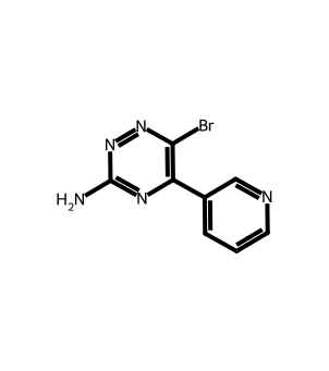 Nc1nnc(Br)c(-c2cccnc2)n1